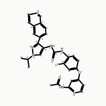 CC(=O)Nc1cc(Oc2ccc(NC(=O)Nc3cn(C(C)C)nc3-c3ccc4cnccc4c3)c(F)c2)ccn1